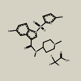 CN1CCC(N(C)C(=O)c2cn(S(=O)(=O)c3ccc(Br)s3)c3ccc(F)cc23)CC1.O=C(O)C(F)(F)F